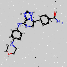 NC(=O)c1ccc(-c2cnc(Nc3ccc(N4CCOCC4)cc3)c3ncnn23)cc1